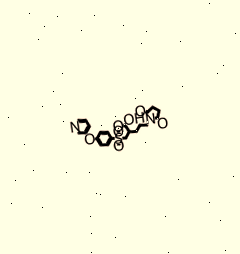 O=C(O)C(CCCN1C(=O)CCC1=O)CS(=O)(=O)c1ccc(Oc2cccnc2)cc1